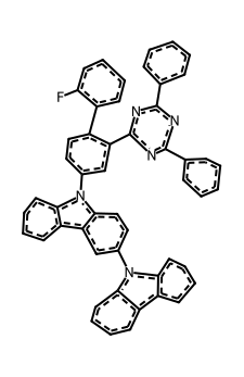 Fc1ccccc1-c1ccc(-n2c3ccccc3c3cc(-n4c5ccccc5c5ccccc54)ccc32)cc1-c1nc(-c2ccccc2)nc(-c2ccccc2)n1